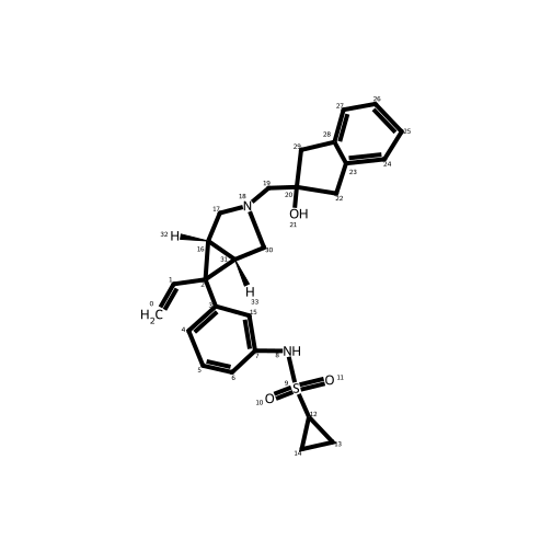 C=CC1(c2cccc(NS(=O)(=O)C3CC3)c2)[C@@H]2CN(CC3(O)Cc4ccccc4C3)C[C@@H]21